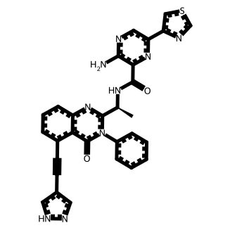 C[C@H](NC(=O)c1nc(-c2cscn2)cnc1N)c1nc2cccc(C#Cc3cn[nH]c3)c2c(=O)n1-c1ccccc1